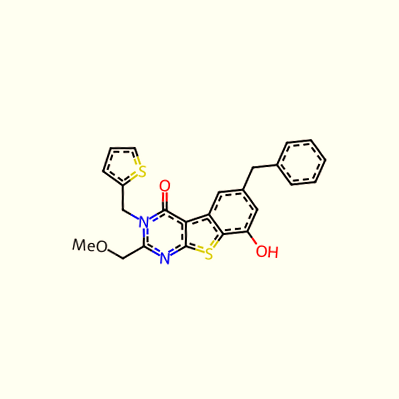 COCc1nc2sc3c(O)cc(Cc4ccccc4)cc3c2c(=O)n1Cc1cccs1